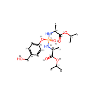 CC(C)OC(=O)[C@H](C)NP(=O)(N[C@@H](C)C(=O)OC(C)C)Oc1ccc(CO)cc1